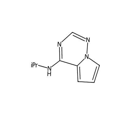 CC(C)Nc1ncnn2cccc12